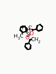 C=C(O[SiH](OC(=C)c1ccccc1)c1ccccc1C)c1ccccc1